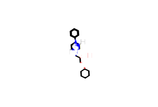 OC(COC1CCCCC1)CN1C[C@@H]2CC[C@H]1CN2c1ccccc1